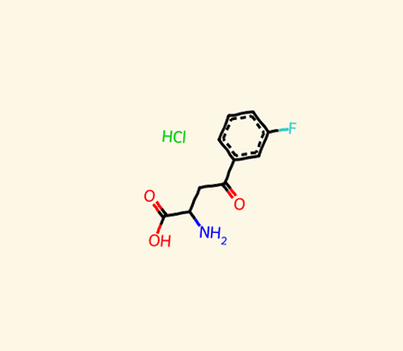 Cl.NC(CC(=O)c1cccc(F)c1)C(=O)O